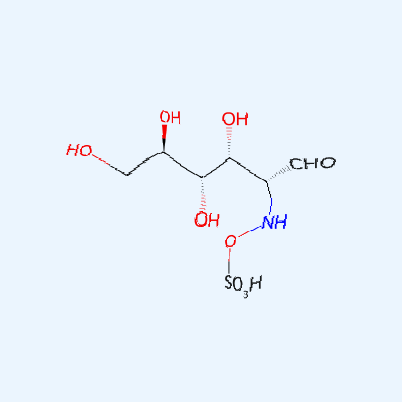 O=C[C@H](NOS(=O)(=O)O)[C@@H](O)[C@H](O)[C@H](O)CO